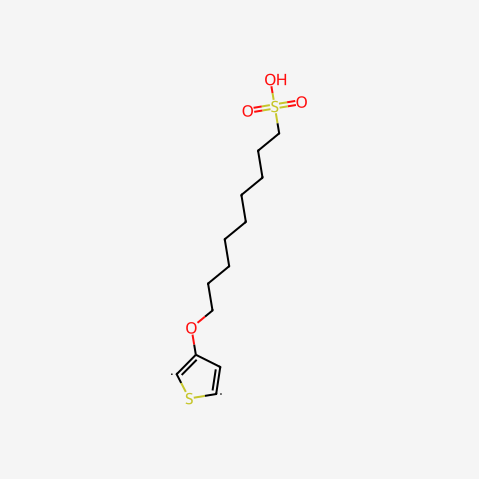 O=S(=O)(O)CCCCCCCCCOc1[c]s[c]c1